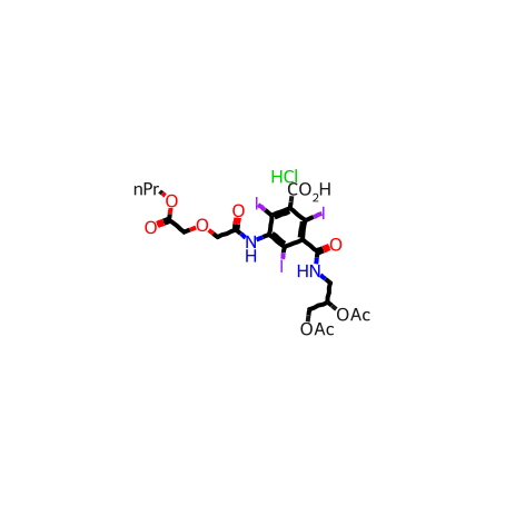 CCCOC(=O)COCC(=O)Nc1c(I)c(C(=O)O)c(I)c(C(=O)NCC(COC(C)=O)OC(C)=O)c1I.Cl